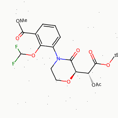 COC(=O)c1cccc(N2CCO[C@H]([C@@H](OC(C)=O)C(=O)OC(C)(C)C)C2=O)c1OC(F)F